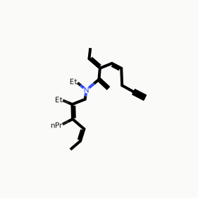 C#CC/C=C\C(=C/C)C(=C)N(CC)C/C(CC)=C(\C=C/C)CCC